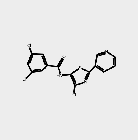 O=C(Nc1sc(-c2cccnc2)nc1Cl)c1cc(Cl)cc(Cl)c1